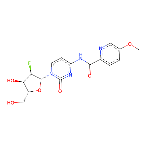 COc1ccc(C(=O)Nc2ccn([C@@H]3O[C@H](CO)[C@@H](O)[C@H]3F)c(=O)n2)nc1